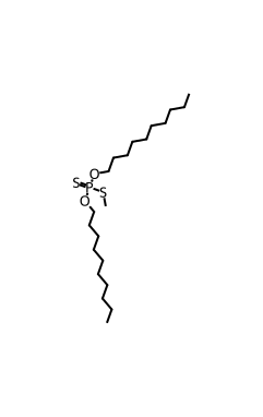 CCCCCCCCCCOP(=S)(OCCCCCCCCCC)SC